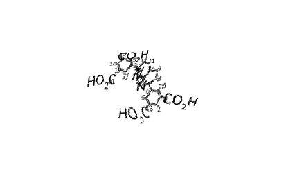 O=C(O)c1cc(C(=O)O)cc(-c2ccc3ccc(-c4cc(C(=O)O)cc(C(=O)O)c4)nc3n2)c1